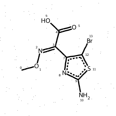 CO/N=C(/C(=O)O)c1nc(N)sc1Br